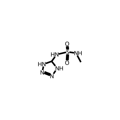 CNS(=O)(=O)NC1NN=NN1